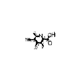 Cc1nc(C(=O)O)c(C)c(C)c1C#N